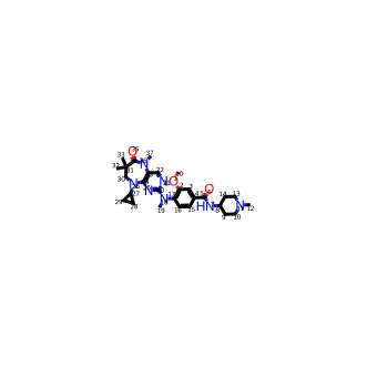 COc1cc(C(=O)NC2CCN(C)CC2)ccc1N(C)c1ncc2c(n1)N(C1CC1)CC(C)(C)C(=O)N2C